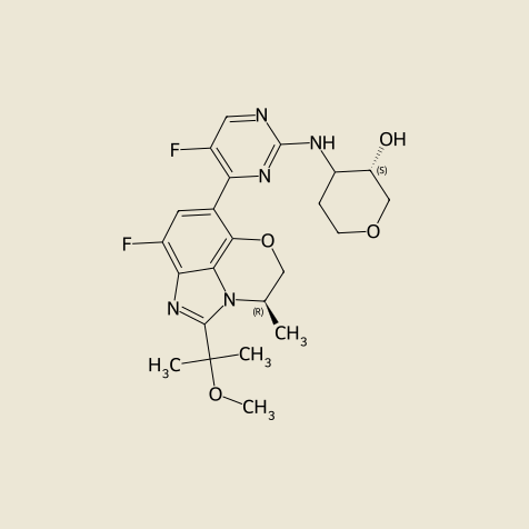 COC(C)(C)c1nc2c(F)cc(-c3nc(NC4CCOC[C@H]4O)ncc3F)c3c2n1[C@H](C)CO3